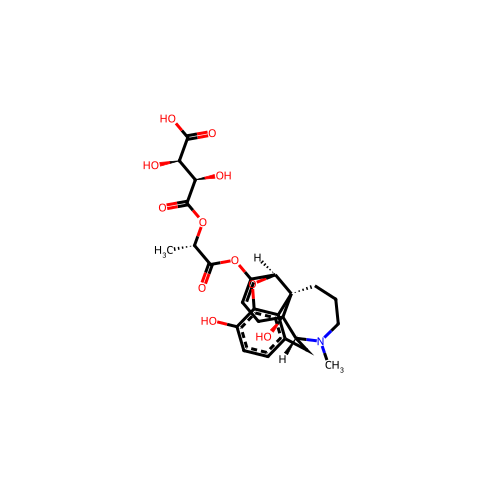 C[C@H](OC(=O)[C@H](O)[C@@H](O)C(=O)O)C(=O)OC1=CC[C@@]2(O)[C@H]3Cc4ccc(O)c5c4[C@@]2(CCCN3C)[C@H]1O5